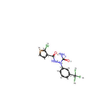 NC(=O)N(NC(=O)c1ccsc1Br)c1cccc(C(F)(F)F)c1